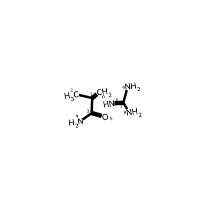 C=C(C)C(N)=O.N=C(N)N